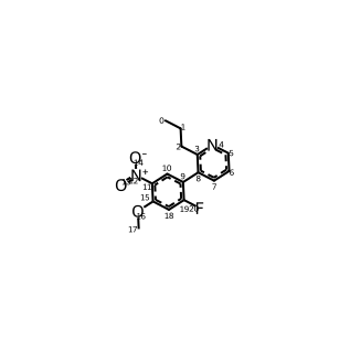 CCCc1ncccc1-c1cc([N+](=O)[O-])c(OC)cc1F